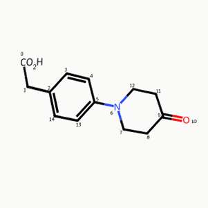 O=C(O)Cc1ccc(N2CCC(=O)CC2)cc1